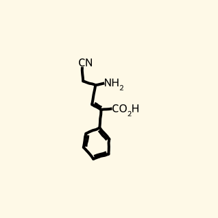 N#CCC(N)C=C(C(=O)O)c1ccccc1